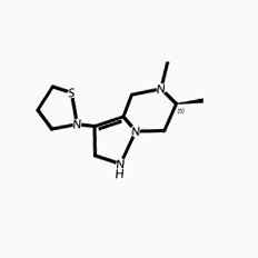 C[C@H]1CN2NCC(N3CCCS3)=C2CN1C